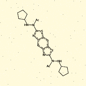 CC(=O)N(NC1CCCC1)c1nc2cc3nc(N(NC4CCCC4)C(C)=O)sc3cc2s1